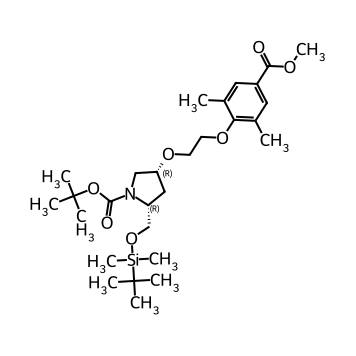 COC(=O)c1cc(C)c(OCCO[C@@H]2C[C@H](CO[Si](C)(C)C(C)(C)C)N(C(=O)OC(C)(C)C)C2)c(C)c1